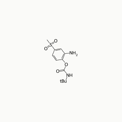 CC(C)(C)NC(=O)Oc1ccc(S(C)(=O)=O)cc1N